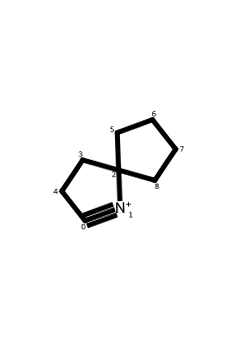 C1#[N+]C2(CC1)CCCC2